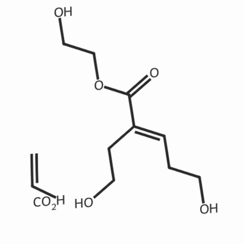 C=CC(=O)O.O=C(OCCO)C(=CCCO)CCO